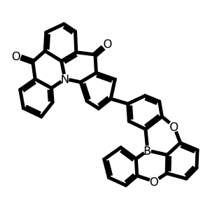 O=c1c2ccccc2n2c3ccc(-c4ccc5c(c4)B4c6ccccc6Oc6cccc(c64)O5)cc3c(=O)c3cccc1c32